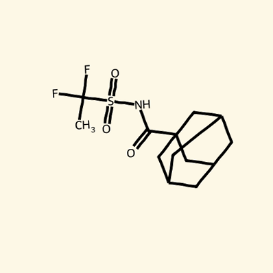 CC(F)(F)S(=O)(=O)NC(=O)C12CC3CC(CC(C3)C1)C2